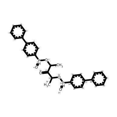 CC(O[PH](=O)c1ccc(-c2ccccc2)cc1)C(=O)C(C)O[PH](=O)c1ccc(-c2ccccc2)cc1